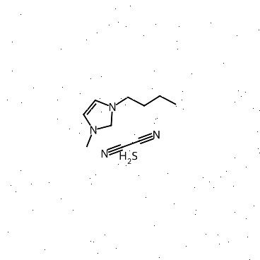 CCCCN1C=CN(C)C1.N#CC#N.S